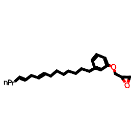 CCC/C=C/C/C=C/CCCCCCCc1cccc(OCC2CO2)c1